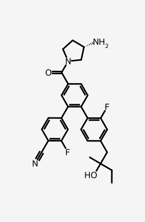 CCC(C)(O)Cc1ccc(-c2ccc(C(=O)N3CC[C@H](N)C3)cc2-c2ccc(C#N)c(F)c2)c(F)c1